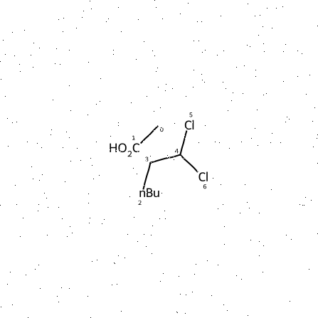 CC(=O)O.CCCCCC(Cl)Cl